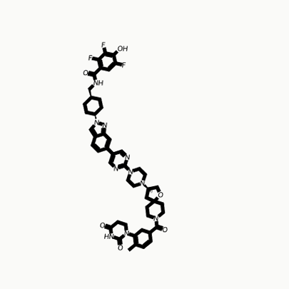 CC1=C(N2CCC(=O)NC2=O)CC(C(=O)N2CCC3(CC2)C[C@@H](N2CCN(c4ncc(-c5ccc6cn([C@H]7CC[C@H](CNC(=O)c8cc(F)c(O)c(F)c8F)CC7)nc6c5)cn4)CC2)CO3)C=C1